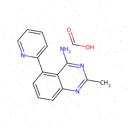 Cc1nc(N)c2c(-c3ccccn3)cccc2n1.O=CO